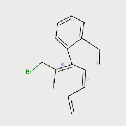 C=C/C=C\C(=C(/C)CBr)c1ccccc1C=C